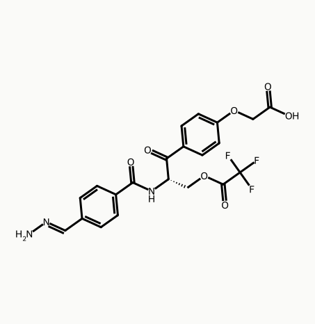 NN=Cc1ccc(C(=O)N[C@@H](COC(=O)C(F)(F)F)C(=O)c2ccc(OCC(=O)O)cc2)cc1